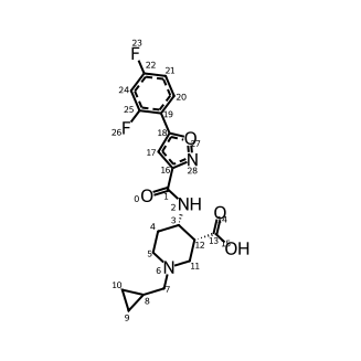 O=C(N[C@H]1CCN(CC2CC2)C[C@H]1C(=O)O)c1cc(-c2ccc(F)cc2F)on1